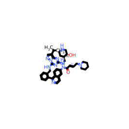 CC(C)c1cnn2c(NCc3ccccc3-c3nccc4cc(NC(=O)/C=C/CN5CCCCC5)ccc34)nc(NC[C@H]3CCNC[C@@H]3O)nc12